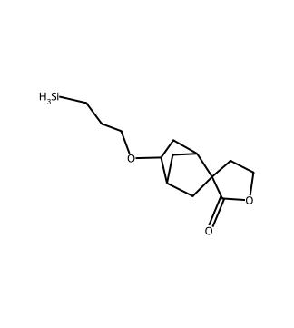 O=C1OCCC12CC1CC2CC1OCCC[SiH3]